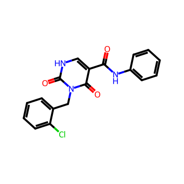 O=C(Nc1ccccc1)c1c[nH]c(=O)n(Cc2ccccc2Cl)c1=O